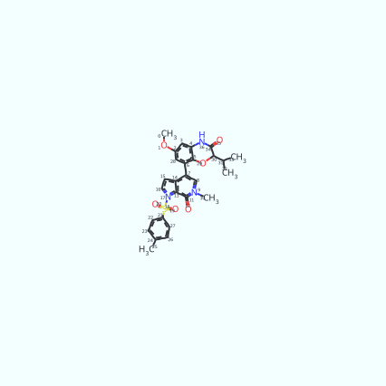 COc1cc2c(c(-c3cn(C)c(=O)c4c3ccn4S(=O)(=O)c3ccc(C)cc3)c1)OC(C(C)C)C(=O)N2